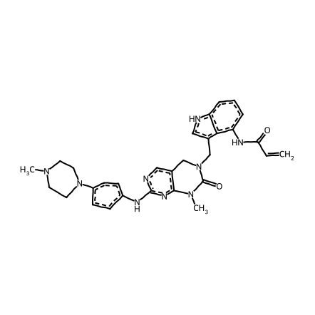 C=CC(=O)Nc1cccc2[nH]cc(CN3Cc4cnc(Nc5ccc(N6CCN(C)CC6)cc5)nc4N(C)C3=O)c12